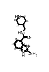 Nc1nc2c(C(=O)NCC3CCNCC3)cccc2[nH]1